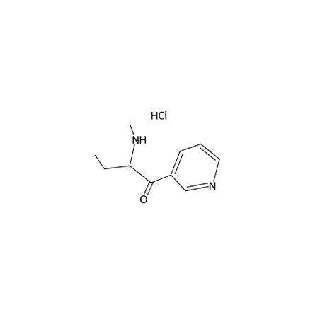 CCC(NC)C(=O)c1cccnc1.Cl